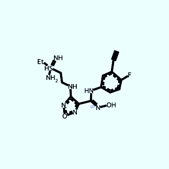 C#Cc1cc(N/C(=N\O)c2nonc2NCC[SH](=N)(N)CC)ccc1F